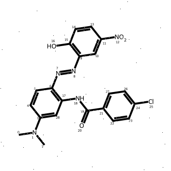 CN(C)c1ccc(N=Nc2cc([N+](=O)[O-])ccc2O)c(NC(=O)c2ccc(Cl)cc2)c1